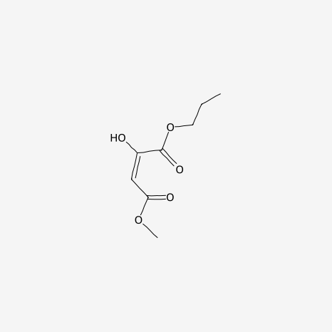 CCCOC(=O)/C(O)=C\C(=O)OC